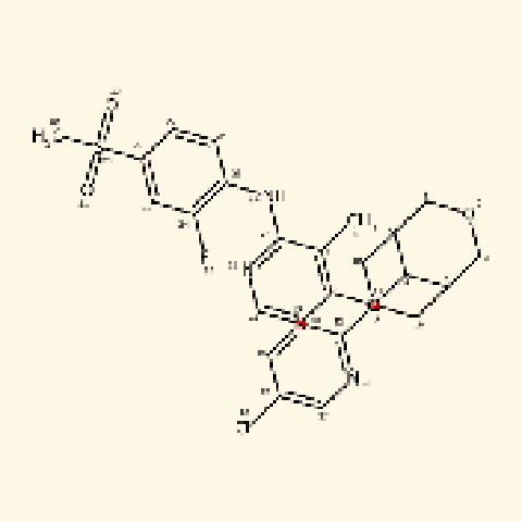 Cc1c(OC2C3COCC2CN(c2ncc(Cl)cn2)C3)ccnc1Nc1ccc(S(C)(=O)=O)cc1F